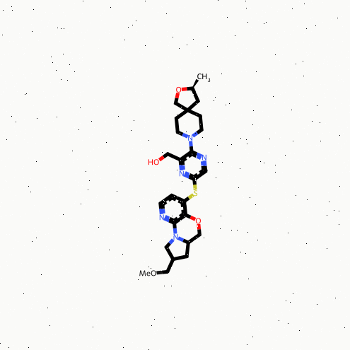 COCC1CC2COc3c(Sc4cnc(N5CCC6(CC5)CO[C@@H](C)C6)c(CO)n4)ccnc3N2C1